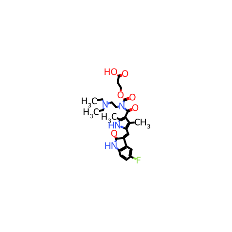 CCN(CC)CCN(C(=O)OCCC(=O)O)C(=O)c1c(C)[nH]c(/C=C2\C(=O)Nc3ccc(F)cc32)c1C